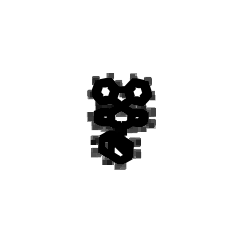 c1ccc2c(c1)-c1ccccc1C21c2ccccc2N(C23CC4CC(CC(C4)C2)C3)c2ccccc21